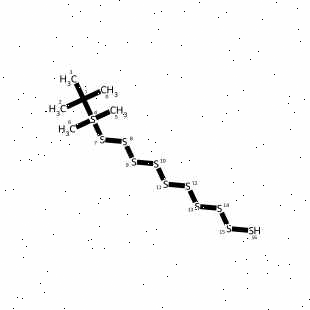 CC(C)(C)S(C)(C)SSSSSSSSSS